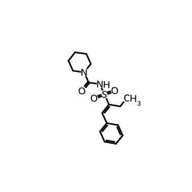 CC/C(=C\c1ccccc1)S(=O)(=O)NC(=O)N1CCCCC1